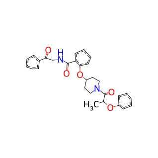 CC(Oc1ccccc1)C(=O)N1CCC(Oc2ccccc2C(=O)NCC(=O)c2ccccc2)CC1